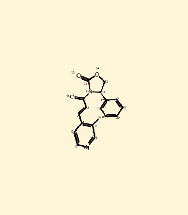 O=C(C=Cc1ccncc1F)N1C(=O)OC[C@H]1c1ccccc1